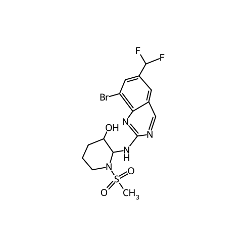 CS(=O)(=O)N1CCCC(O)C1Nc1ncc2cc(C(F)F)cc(Br)c2n1